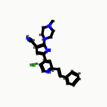 CN1CCN(c2[nH]c(-c3ccnc(C=Cc4ccccc4)c3)cc2C#N)CC1.Cl